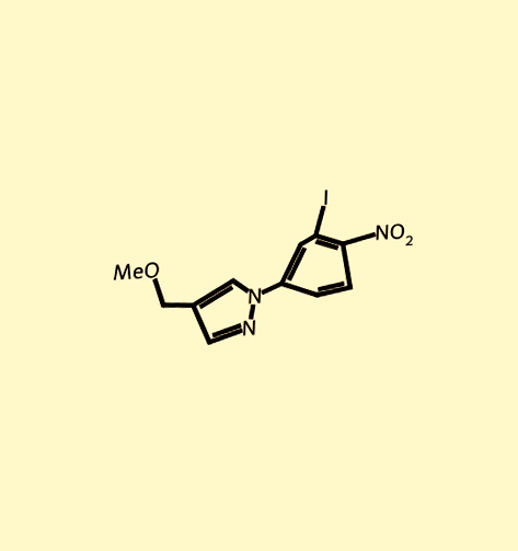 COCc1cnn(-c2ccc([N+](=O)[O-])c(I)c2)c1